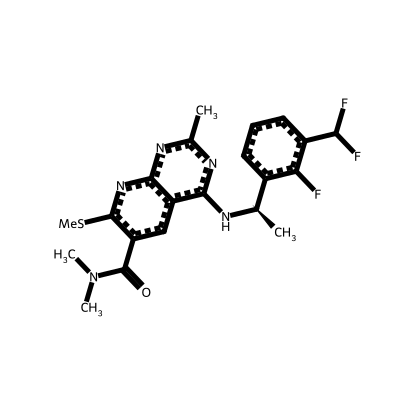 CSc1nc2nc(C)nc(N[C@H](C)c3cccc(C(F)F)c3F)c2cc1C(=O)N(C)C